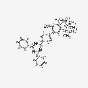 CCc1cc2c(cc1-c1ccc(-c3nc(-c4ccccc4)nc(C4C=CC=CC4)n3)cn1)C(C)(C)C(C)(C)C2(C)C